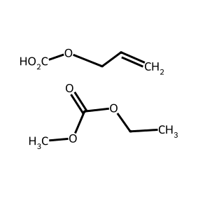 C=CCOC(=O)O.CCOC(=O)OC